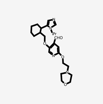 CC(C)n1cncc1C1CCCCC1COc1cnc(OCCN2CCOCC2)cc1C=O